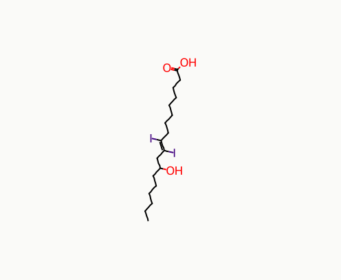 CCCCCCC(O)C/C(I)=C(\I)CCCCCCCC(=O)O